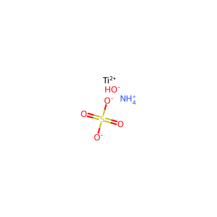 O=S(=O)([O-])[O-].[NH4+].[OH-].[Ti+2]